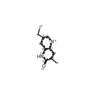 Cc1cc2ncc(CI)cc2[nH]c1=O